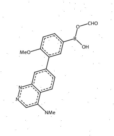 CNc1cnnc2cc(-c3cc(B(O)OC=O)ccc3OC)ccc12